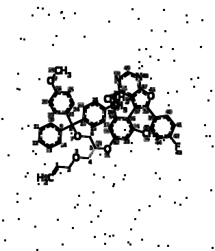 C=CCOC[C@H](COC(c1ccccc1)(c1ccc(OC)cc1)c1ccc(OC)cc1)Oc1cc(C)c(-c2c(-c3ccc(F)cc3)oc3ncnc(Cl)c23)c(C)c1